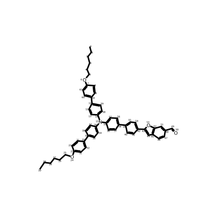 CCCCCCOc1ccc(-c2ccc(N(c3ccc(-c4ccc(OCCCCCC)cc4)cc3)c3ccc(-c4ccc(-c5cc6ccc(C=O)cc6o5)cc4)cc3)cc2)cc1